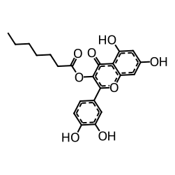 CCCCCCC(=O)Oc1c(-c2ccc(O)c(O)c2)oc2cc(O)cc(O)c2c1=O